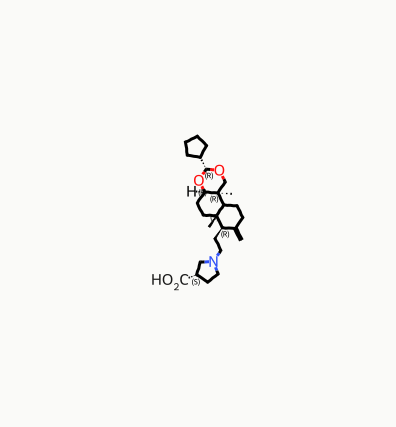 C=C1CCC2[C@]3(C)CO[C@@H](C4CCCC4)O[C@@H]3CC[C@@]2(C)[C@@H]1CCN1CC[C@H](C(=O)O)C1